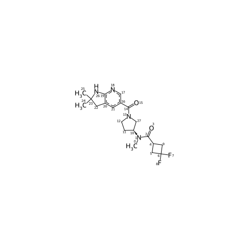 CN(C(=O)C1CC(F)(F)C1)[C@H]1CCN(C(=O)c2cnc3c(c2)CC(C)(C)N3)C1